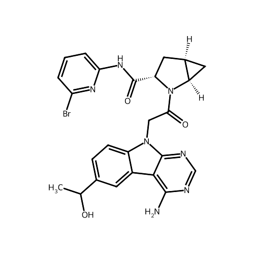 CC(O)c1ccc2c(c1)c1c(N)ncnc1n2CC(=O)N1[C@@H]2C[C@@H]2C[C@H]1C(=O)Nc1cccc(Br)n1